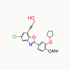 COc1ccc(-c2nc3cc(Cl)cc(C#CCO)c3o2)cc1OC1CCCC1